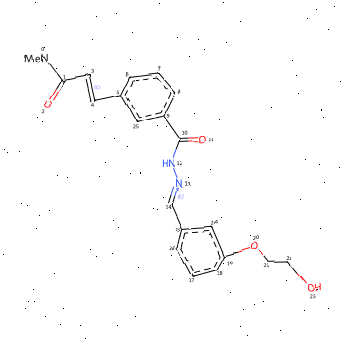 CNC(=O)/C=C/c1cccc(C(=O)N/N=C/c2cccc(OCCO)c2)c1